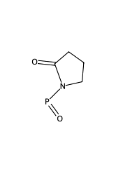 O=PN1CCCC1=O